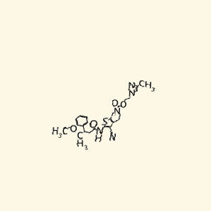 CCOc1ccccc1[C@@H](C)CC(=O)Nc1sc2c(c1C#N)CCN(C(=O)OCCn1cnc(C)c1)C2